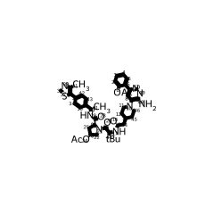 CC(=O)Oc1ccccc1-c1cc(N2CCC(CC(=O)NC(C(=O)N3C[C@H](OC(C)=O)C[C@H]3C(=O)N[C@@H](C)c3ccc(-c4scnc4C)cc3)C(C)(C)C)CC2)c(N)nn1